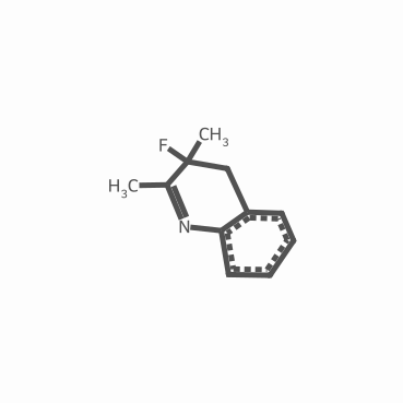 CC1=Nc2ccccc2CC1(C)F